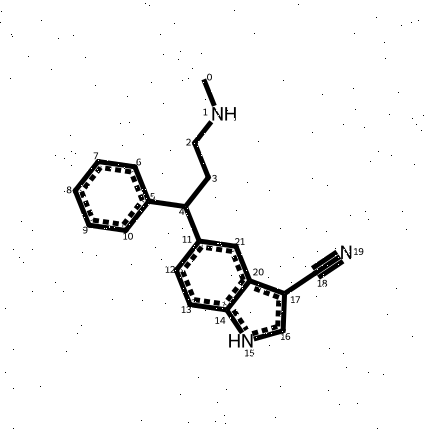 CNCCC(c1ccccc1)c1ccc2[nH]cc(C#N)c2c1